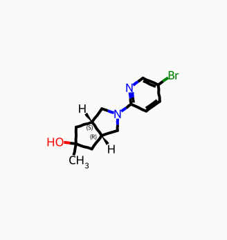 CC1(O)C[C@H]2CN(c3ccc(Br)cn3)C[C@H]2C1